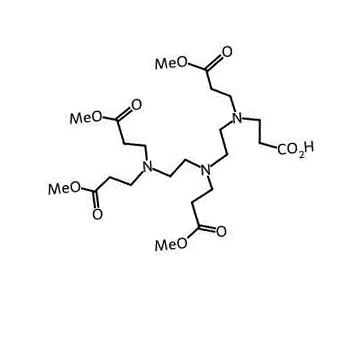 COC(=O)CCN(CCC(=O)O)CCN(CCC(=O)OC)CCN(CCC(=O)OC)CCC(=O)OC